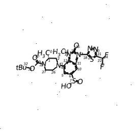 C[C@@H]1CN(c2cc(S(=O)O)cc3c2n(C)c(=O)n3-c2nnc(C(F)F)s2)CCN1C(=O)OC(C)(C)C